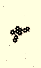 c1ccc2cc(-c3cc4cccc5c4c4c3cccc4c3c5c4ccccc4n3-c3ccc4ccccc4c3)ccc2c1